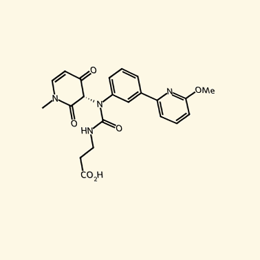 COc1cccc(-c2cccc(N(C(=O)NCCC(=O)O)[C@H]3C(=O)C=CN(C)C3=O)c2)n1